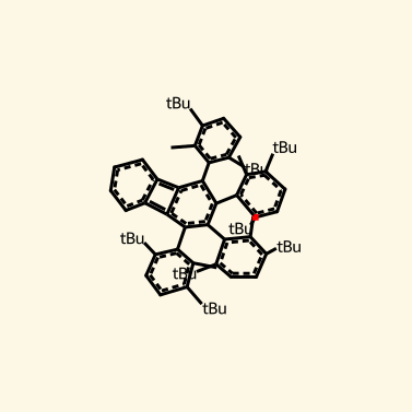 Cc1c(C(C)(C)C)ccc(C(C)(C)C)c1-c1c(-c2c(C(C)(C)C)ccc(C(C)(C)C)c2C)c(-c2c(C(C)(C)C)ccc(C(C)(C)C)c2C)c2c(c1-c1c(C(C)(C)C)ccc(C(C)(C)C)c1C)=c1ccccc1=2